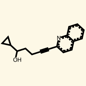 OC(CCC#Cc1ccc2ccccc2n1)C1CC1